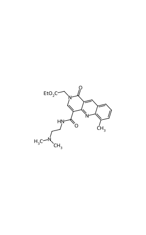 CCOC(=O)Cn1cc(C(=O)NCCN(C)C)c2nc3c(C)cccc3cc2c1=O